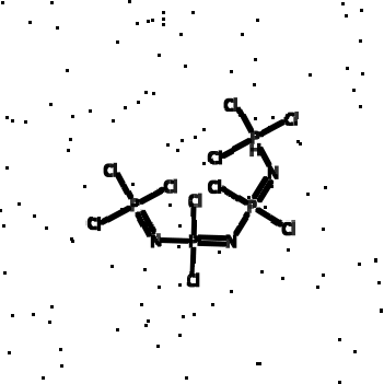 ClP(Cl)(Cl)=NP(Cl)(Cl)=NP(Cl)(Cl)=N[PH](Cl)(Cl)Cl